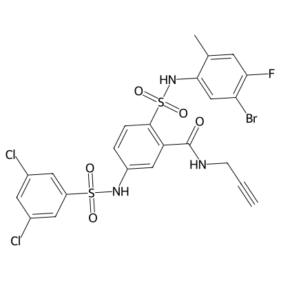 C#CCNC(=O)c1cc(NS(=O)(=O)c2cc(Cl)cc(Cl)c2)ccc1S(=O)(=O)Nc1cc(Br)c(F)cc1C